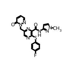 Cn1ccc(NC(=O)c2nc(Cn3ncccc3=O)cnc2Sc2ccc(F)cc2)n1